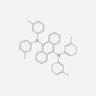 CC1=CCCC(N(C2=CCCC(C)=C2)c2c3ccccc3c(N(c3cccc(C)c3)c3cccc(C)c3)c3ccccc23)=C1